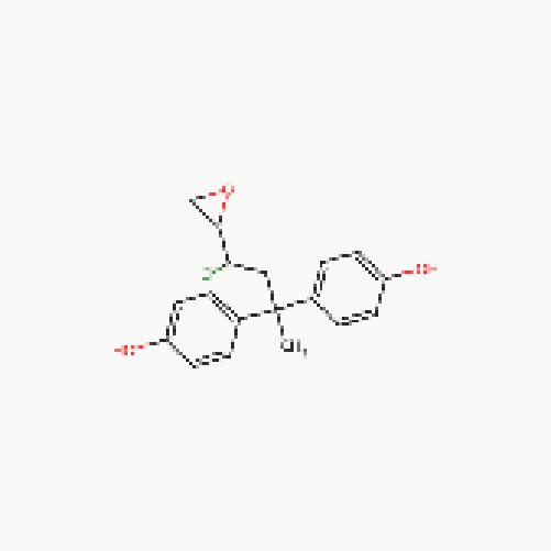 CC(CC(Cl)C1CO1)(c1ccc(O)cc1)c1ccc(O)cc1